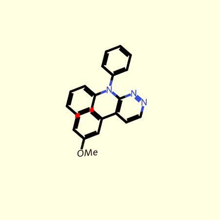 COc1cccc(-c2ccnnc2N(c2ccccc2)c2ccccc2)c1